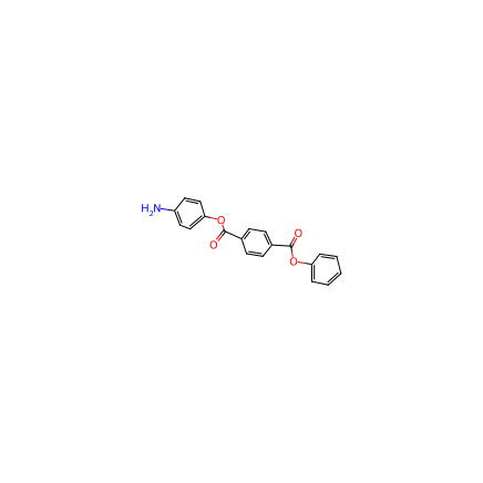 Nc1ccc(OC(=O)c2ccc(C(=O)Oc3ccccc3)cc2)cc1